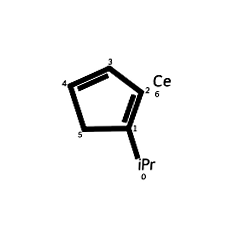 CC(C)C1=CC=CC1.[Ce]